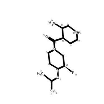 CC(C)O[C@H]1CCN(C(=O)C2CCNCC2N)C[C@H]1F